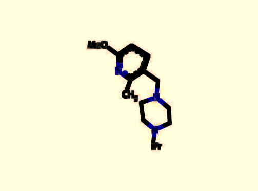 COc1ccc(CN2CCN(C(C)C)CC2)c(C)n1